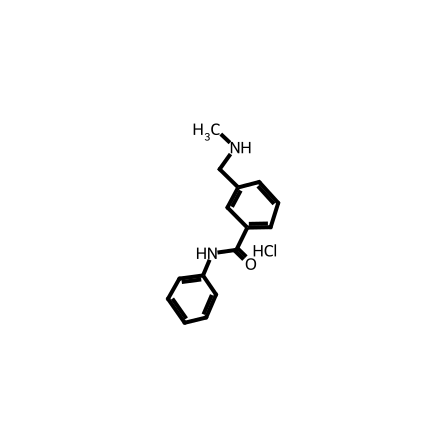 CNCc1cccc(C(=O)Nc2ccccc2)c1.Cl